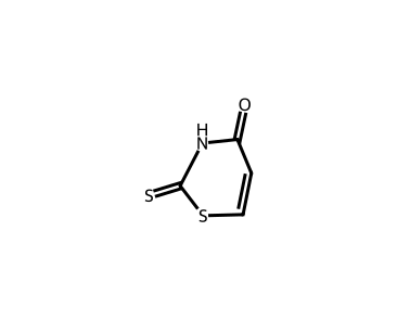 O=c1ccsc(=S)[nH]1